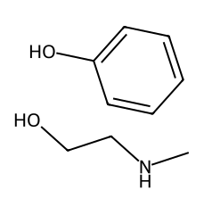 CNCCO.Oc1ccccc1